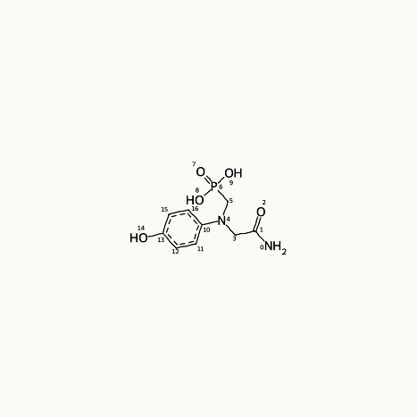 NC(=O)CN(CP(=O)(O)O)c1ccc(O)cc1